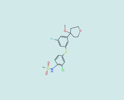 COC1(c2cc(F)cc(Sc3ccc(NS(C)(=O)=O)c(Cl)c3)c2)CCOCC1